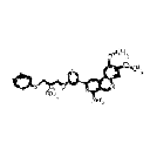 COc1cc2ncc3c(N)nc(-c4cncc(OC[C@@H](N)CSc5ccccc5)c4)cc3c2cc1OC